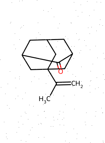 C=C(C)C12CC3CC(C1)C(=O)C(C3)C2